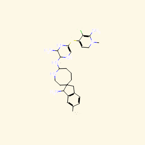 COc1ccc2c(c1)C(N)C1(CCCC(NC3NC=C(SC4=CCN(C)C(N)=C4Cl)NC3N)NCC1)C2